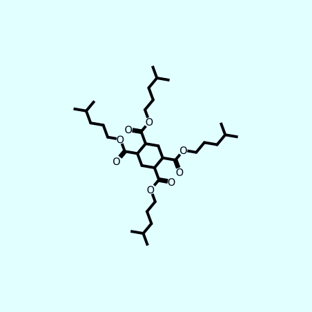 CC(C)CCCOC(=O)C1CC(C(=O)OCCCC(C)C)C(C(=O)OCCCC(C)C)CC1C(=O)OCCCC(C)C